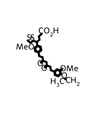 C=C(C)Oc1ccc(CCC(=O)CC(=O)CCc2ccc(C(CCCC(=O)O)C3CCSS3)c(OC)c2)cc1OC